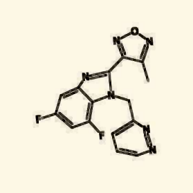 Cc1nonc1-c1nc2cc(F)cc(F)c2n1Cc1cccnn1